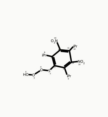 CC(C)c1c(SOOO)c(C(C)C)c([N+](=O)[O-])c(C(C)C)c1[N+](=O)[O-]